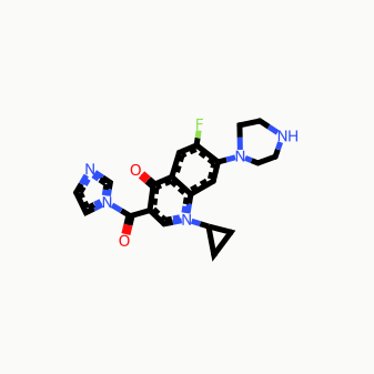 O=C(c1cn(C2CC2)c2cc(N3CCNCC3)c(F)cc2c1=O)n1ccnc1